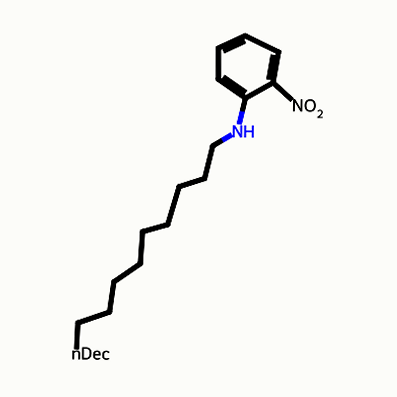 CCCCCCCCCCCCCCCCCCCNc1ccccc1[N+](=O)[O-]